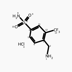 Cl.NCc1ccc(S(N)(=O)=O)cc1C(F)(F)F